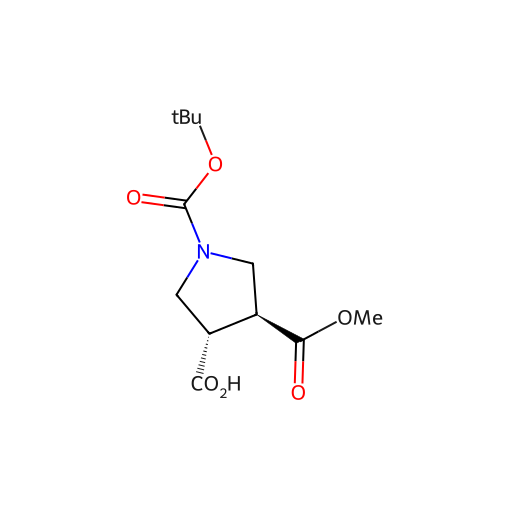 COC(=O)[C@@H]1CN(C(=O)OC(C)(C)C)C[C@H]1C(=O)O